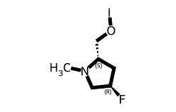 CN1C[C@H](F)C[C@H]1COI